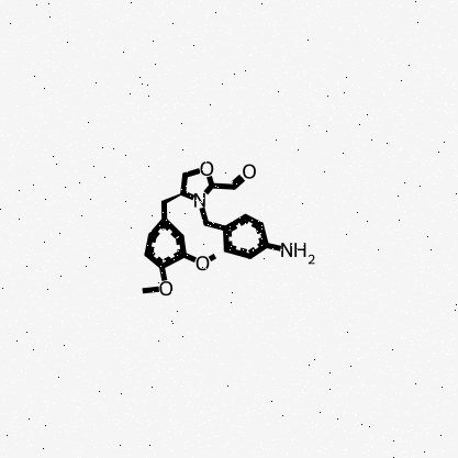 COc1ccc(C[C@H]2COC(C=O)N2Cc2ccc(N)cc2)cc1OC